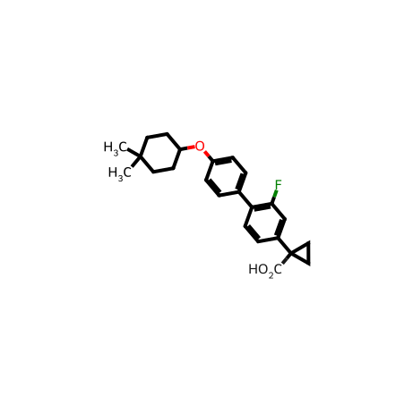 CC1(C)CCC(Oc2ccc(-c3ccc(C4(C(=O)O)CC4)cc3F)cc2)CC1